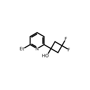 CCc1cccc(C2(O)CC(F)(F)C2)n1